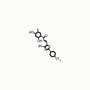 Cc1cc(C(=O)/C=C/c2sc(-c3ccc(C(F)(F)F)cc3)nc2C(C)C)c(O)cc1O